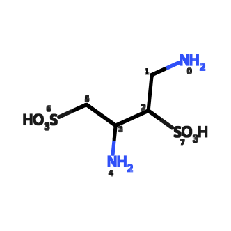 NCC(C(N)CS(=O)(=O)O)S(=O)(=O)O